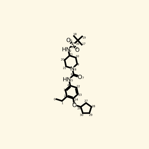 CCc1cc(NC(=O)N2CCC(NS(=O)(=O)C(C)(C)C)CC2)ccc1OC1CCCC1